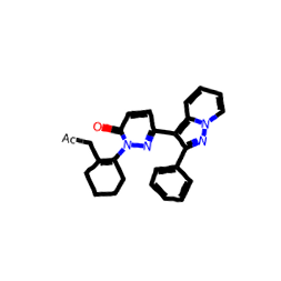 CC(=O)CC1=C(n2nc(-c3c(-c4ccccc4)nn4ccccc34)ccc2=O)CCCC1